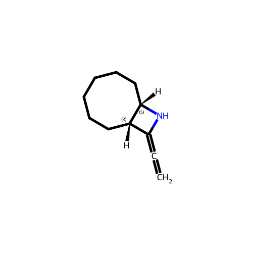 C=C=C1N[C@H]2CCCCCC[C@@H]12